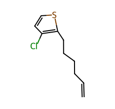 C=CCCCCc1sccc1Cl